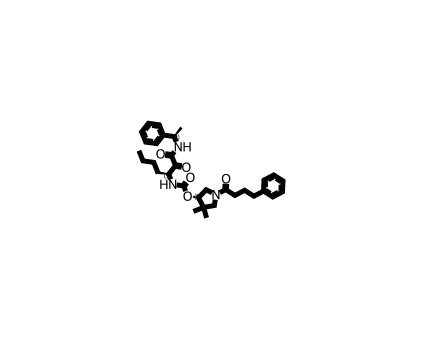 CCCC[C@H](NC(=O)O[C@@H]1CN(C(=O)CCCc2ccccc2)CC1(C)C)C(=O)C(=O)N[C@H](C)c1ccccc1